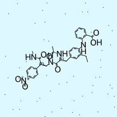 CCc1cc(C[C@H](NC(C)=O)C(=O)NC[C@H](C(=O)NC)c2ccc([N+](=O)[O-])cc2)ccc1Nc1ccccc1C(=O)O